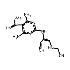 CSC(=N)c1c(N)nc(N/C(C=N)=C/NCC#N)nc1N